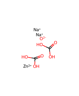 O=C(O)O.O=C(O)O.[Na+].[Na+].[O-2].[Zn+2]